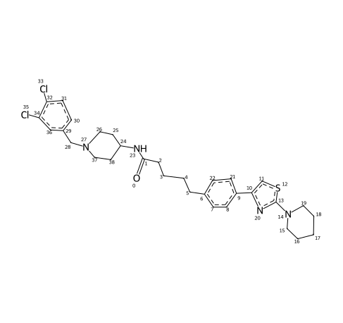 O=C(CCCCc1ccc(-c2csc(N3CCCCC3)n2)cc1)NC1CCN(Cc2ccc(Cl)c(Cl)c2)CC1